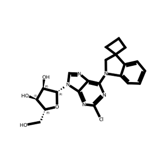 OC[C@H]1O[C@@H](n2cnc3c(N4CC5(CCC5)c5ccccc54)nc(Cl)nc32)[C@H](O)[C@@H]1O